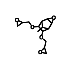 CC1C2C(OCC3CO3)C(OCC3CO3)C1C1OC12